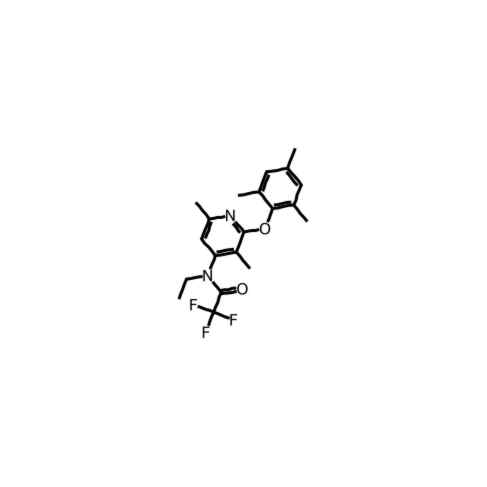 CCN(C(=O)C(F)(F)F)c1cc(C)nc(Oc2c(C)cc(C)cc2C)c1C